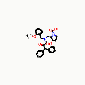 COc1ccccc1CN(CC(=O)C(c1ccccc1)c1ccccc1)C[C@@H]1[C@@H](O)CCN1C(=O)O